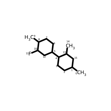 CC1CCC(C2CCC(C)C(F)C2)C(C)C1